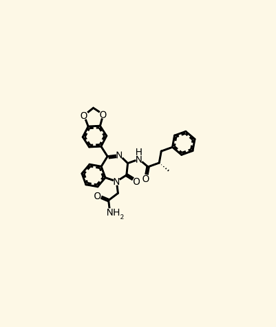 C[C@@H](Cc1ccccc1)C(=O)NC1N=C(c2ccc3c(c2)OCO3)c2ccccc2N(CC(N)=O)C1=O